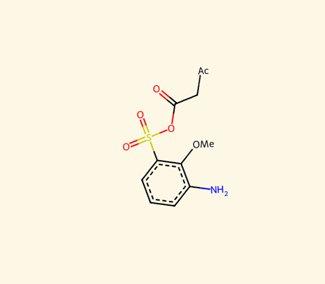 COc1c(N)cccc1S(=O)(=O)OC(=O)CC(C)=O